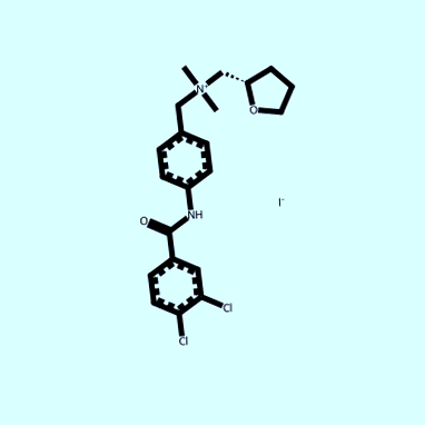 C[N+](C)(Cc1ccc(NC(=O)c2ccc(Cl)c(Cl)c2)cc1)C[C@@H]1CCCO1.[I-]